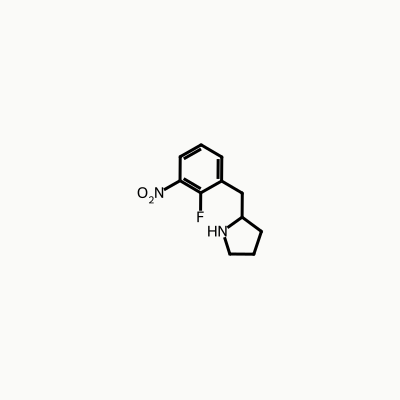 O=[N+]([O-])c1cccc(CC2CCCN2)c1F